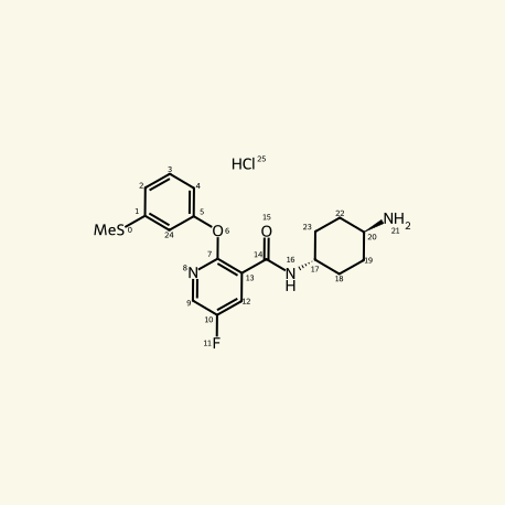 CSc1cccc(Oc2ncc(F)cc2C(=O)N[C@H]2CC[C@H](N)CC2)c1.Cl